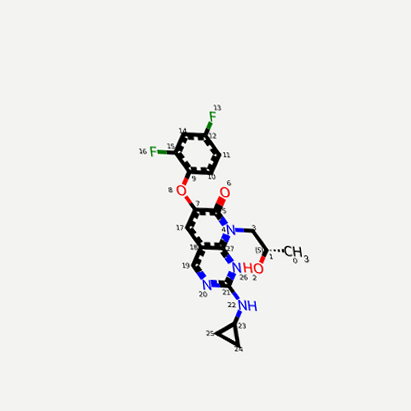 C[C@H](O)Cn1c(=O)c(Oc2ccc(F)cc2F)cc2cnc(NC3CC3)nc21